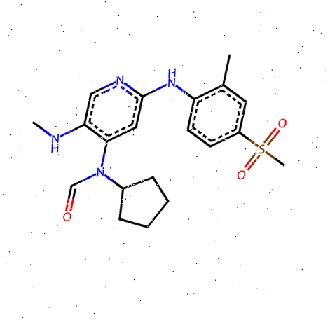 CNc1cnc(Nc2ccc(S(C)(=O)=O)cc2C)cc1N(C=O)C1CCCC1